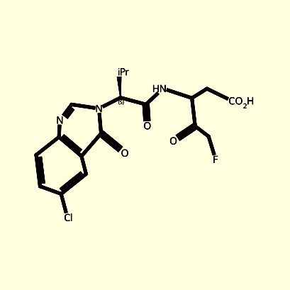 CC(C)[C@@H](C(=O)NC(CC(=O)O)C(=O)CF)n1cnc2ccc(Cl)cc2c1=O